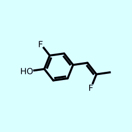 CC(F)=Cc1ccc(O)c(F)c1